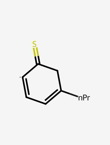 CCCC1=CC=[C]C(=S)C1